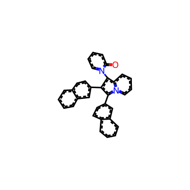 O=c1ccccn1-c1c(-c2ccc3ccccc3c2)c(-c2ccc3ccccc3c2)n2ccccc12